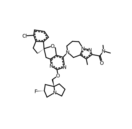 Cc1c(C(=O)N(C)C)nn2c1CN(c1nc(OC[C@@]34CCCN3C[C@H](F)C4)nc3c1CO[C@@]1(CCc4c(Cl)cccc41)C3)CCC2